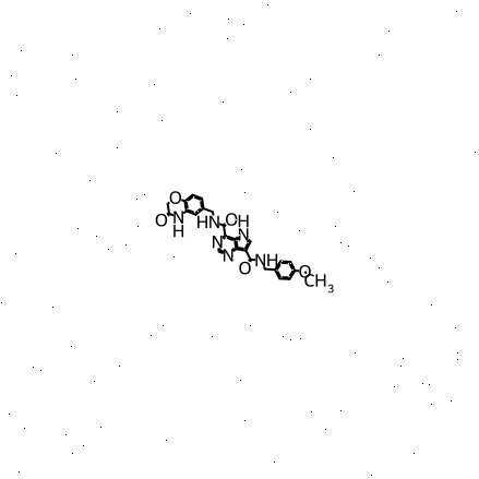 COc1ccc(CNC(=O)c2c[nH]c3c(C(=O)NCc4ccc5c(c4)NC(=O)CO5)ncnc23)cc1